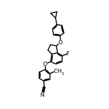 Cc1cc(C#N)ccc1Oc1ccc(F)c2c1CCC2Oc1ccc(C2CC2)cc1